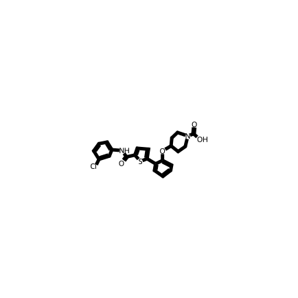 O=C(Nc1cccc(Cl)c1)c1ccc(-c2ccccc2OC2CCN(C(=O)O)CC2)s1